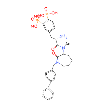 CC(=O)N(C(=O)[C@@H](N)Cc1ccc(P(=O)(O)O)c(P(=O)(O)O)c1)C1CCCCN(Cc2ccc(-c3ccccc3)cc2)C1=O